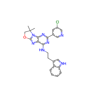 CC1(C)COc2nc3c(NCCc4c[nH]c5ccccc45)nc(-c4cncc(Cl)c4)nc3n21